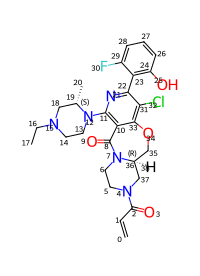 C=CC(=O)N1CCN2C(=O)c3c(N4CCN(CC)C[C@@H]4C)nc(-c4c(O)cccc4F)c(Cl)c3OC[C@H]2C1